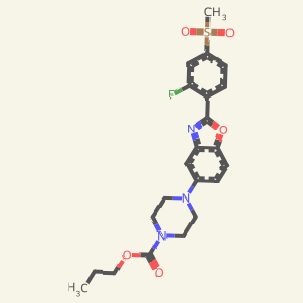 CCCOC(=O)N1CCN(c2ccc3oc(-c4ccc(S(C)(=O)=O)cc4F)nc3c2)CC1